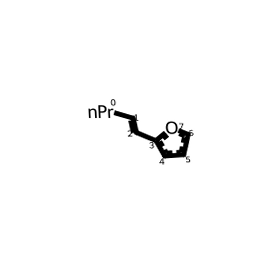 CCC/C=C/c1ccco1